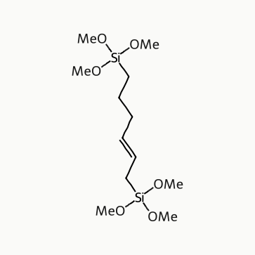 CO[Si](CC=CCCC[Si](OC)(OC)OC)(OC)OC